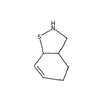 C1=CC2SNCC2CC1